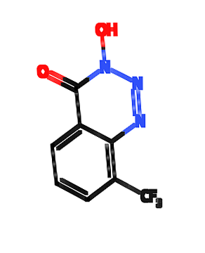 O=c1c2cccc(C(F)(F)F)c2nnn1O